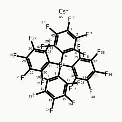 Fc1c(F)c(F)c([B-](c2c(F)c(F)c(F)c(F)c2F)(c2c(F)c(F)c(F)c(F)c2F)c2c(F)c(F)c(F)c(F)c2F)c(F)c1F.[Cs+]